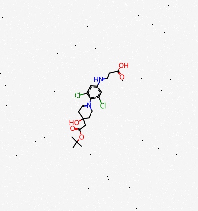 CC(C)(C)OC(=O)CC1(O)CCN(c2c(Cl)cc(NCCC(=O)O)cc2Cl)CC1